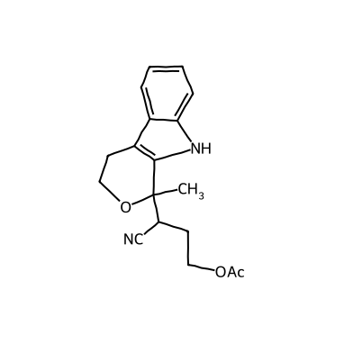 CC(=O)OCCC(C#N)C1(C)OCCc2c1[nH]c1ccccc21